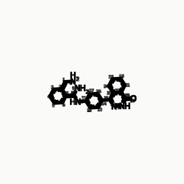 N/C=c1/cccc/c1=C(/N)Nc1ccc(-c2n[nH]c(=O)c3ccccc23)cc1